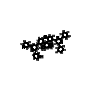 C1=CC(c2cc(-c3ccc4c(c3)C3(c5cc(-c6cc(-c7ccccc7)nc(-c7ccccc7)n6)ccc5O4)c4ccccc4-c4ccccc43)cc(-c3cccnc3)n2)=CNC1